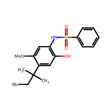 COc1cc(NS(=O)(=O)c2ccccc2)c(O)cc1C(C)(C)CC(C)(C)C